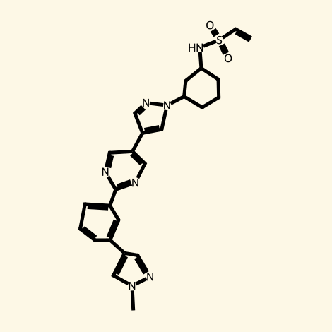 C=CS(=O)(=O)NC1CCCC(n2cc(-c3cnc(-c4cccc(-c5cnn(C)c5)c4)nc3)cn2)C1